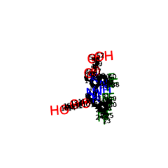 CC[C@@H]1C[C@H](Nc2ncc(OCCOCCO)c(Cc3cc(C(F)(F)F)cc(C(F)(F)F)c3)n2)c2nc(C(F)(F)F)ccc2N1C(=O)OCCC(=O)O